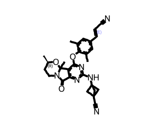 Cc1cc(/C=C/C#N)cc(C)c1Oc1nc(NC23CC(C#N)(C2)C3)nc2c1C1(C)O[C@H](C)CCN1C2=O